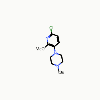 COc1nc(Cl)ccc1N1CCN(C(C)(C)C)CC1